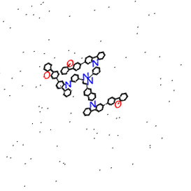 c1cc(-c2cc(-c3ccc4cc(-n5c6ccccc6c6ccc(-c7ccc8c(c7)oc7ccccc78)cc65)ccc4c3)nc(-c3cccc(-n4c5ccccc5c5ccc(-c6ccc7c(c6)oc6ccccc67)cc54)c3)n2)cc(-n2c3ccccc3c3ccc(-c4ccc5c(c4)oc4ccccc45)cc32)c1